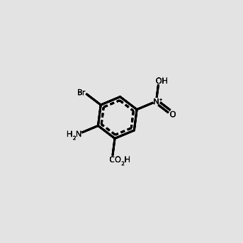 Nc1c(Br)cc([N+](=O)O)cc1C(=O)O